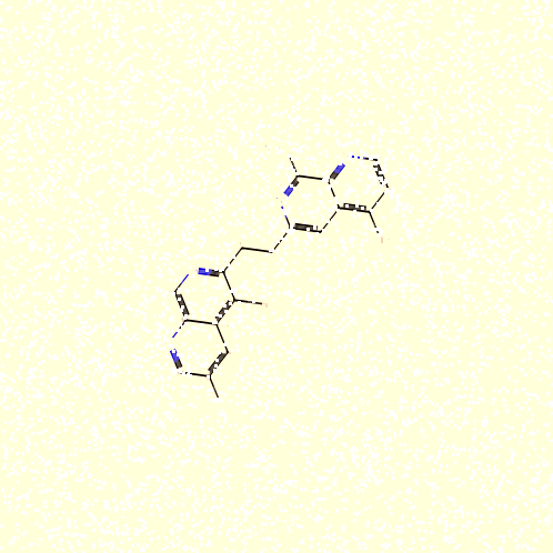 CCc1cnc2cnc(CCc3cc4c(C(C)C)ccnc4c(OC)n3)c(C(C)C)c2c1